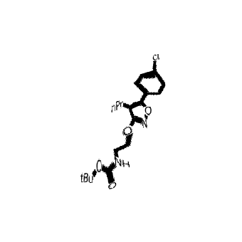 CCCc1c(OCCNC(=O)OC(C)(C)C)noc1-c1ccc(Cl)cc1